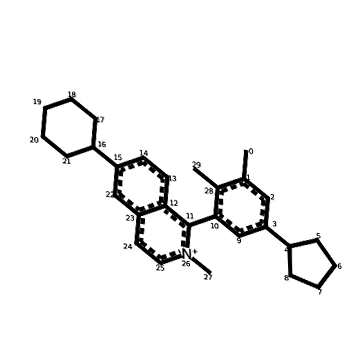 Cc1cc(C2CCCC2)cc(-c2c3ccc(C4CCCCC4)cc3cc[n+]2C)c1C